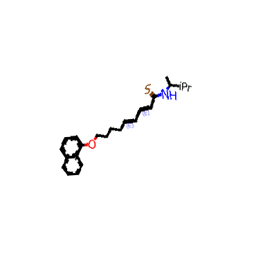 CC(C)C(C)NC(=S)/C=C/C=C/CCCCOc1cccc2ccccc12